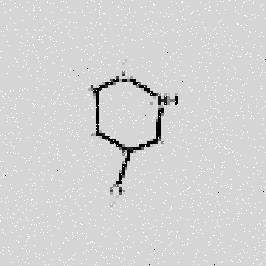 [O]C1CCSNC1